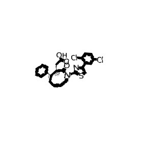 O=C(O)C[C@@H]1C(=O)N(c2nc(-c3cc(Cl)ccc3Cl)cs2)CC=CC[C@@H]1c1ccccc1